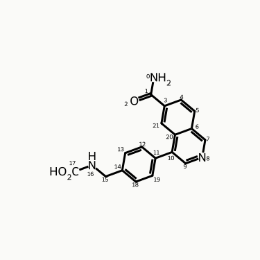 NC(=O)c1ccc2cncc(-c3ccc(CNC(=O)O)cc3)c2c1